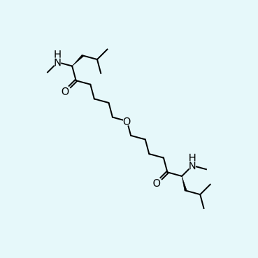 CN[C@@H](CC(C)C)C(=O)CCCCOCCCCC(=O)[C@H](CC(C)C)NC